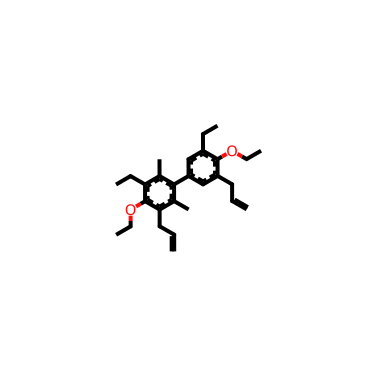 C=CCc1cc(-c2c(C)c(CC)c(OCC)c(CC=C)c2C)cc(CC)c1OCC